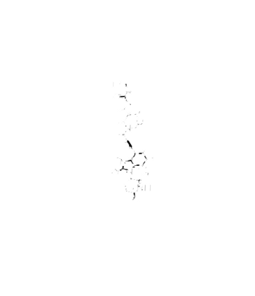 Cn1c(=O)n(C2CCC(=O)NC2=O)c2cccc(C#CCN3COC[C@H](CNC(=O)OC(C)(C)C)C3)c21